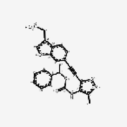 Cc1noc(C#Cc2ccc3c(CC(=O)O)coc3c2)c1NC(=O)OC(C)c1ccccc1